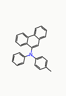 Cc1ccc(N(c2ccccc2)c2cc3ccccc3c3ccccc23)cc1